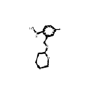 OBc1ccc(F)cc1COC1CCCCO1